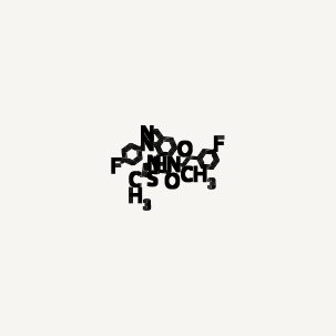 Cc1cnc(C(=O)N[C@@H](C)C(Oc2ccc3c(cnn3-c3ccc(F)cc3)c2)c2cccc(F)c2)s1